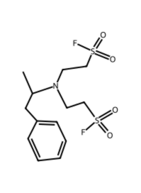 CC(Cc1ccccc1)N(CCS(=O)(=O)F)CCS(=O)(=O)F